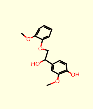 COc1cc(C(O)COc2ccccc2OC)ccc1O